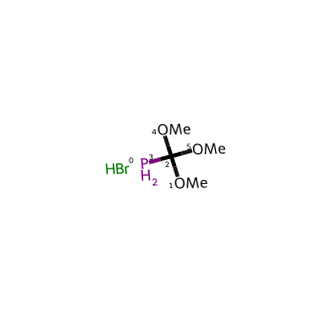 Br.COC(P)(OC)OC